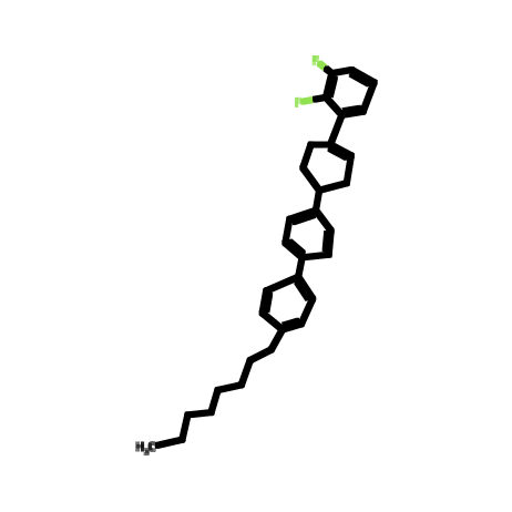 CCCCCCCCc1ccc(-c2ccc(C3CC=C(c4cccc(F)c4F)CC3)cc2)cc1